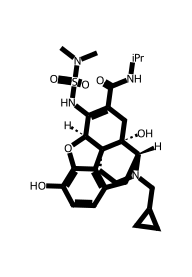 CC(C)NC(=O)C1=C(NS(=O)(=O)N(C)C)[C@@H]2Oc3c(O)ccc4c3[C@@]23CCN(CC2CC2)[C@H](C4)[C@]3(O)C1